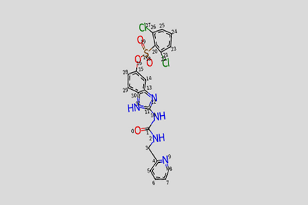 O=C(NCc1ccccn1)Nc1nc2cc(OS(=O)(=O)c3c(Cl)cccc3Cl)ccc2[nH]1